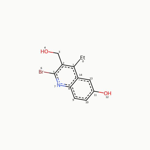 CCc1c(CO)c(Br)nc2ccc(O)cc12